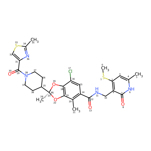 CSc1cc(C)[nH]c(=O)c1CNC(=O)c1cc(Cl)c2c(c1C)O[C@@](C)(C1CCN(C(=O)c3csc(C)n3)CC1)O2